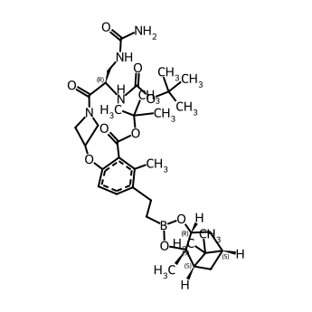 Cc1c(CCB2O[C@@H]3C[C@@H]4C[C@@H](C4(C)C)[C@]3(C)O2)ccc(OC2CN(C(=O)[C@@H](CNC(N)=O)NC(=O)OC(C)(C)C)C2)c1C(=O)OC(C)(C)C